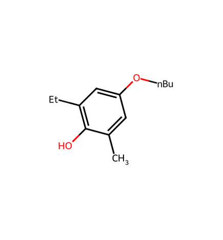 CCCCOc1cc(C)c(O)c(CC)c1